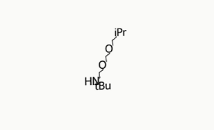 CC(C)CCCOCCCOCCCNC(C)(C)C